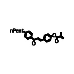 C=C(C)C(=O)Oc1ccc(C=CC(=O)c2ccc(CCCCC)cc2)cc1